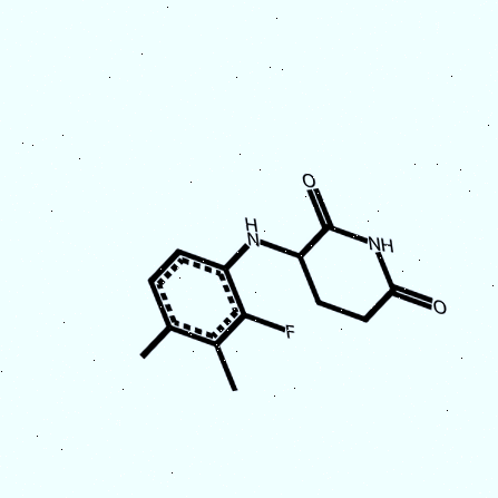 Cc1ccc(NC2CCC(=O)NC2=O)c(F)c1C